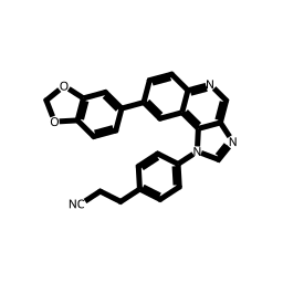 N#CCCc1ccc(-n2cnc3cnc4ccc(-c5ccc6c(c5)OCO6)cc4c32)cc1